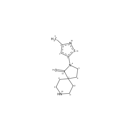 Cc1cc(N2CCC3(CCNCC3)C2=O)sn1